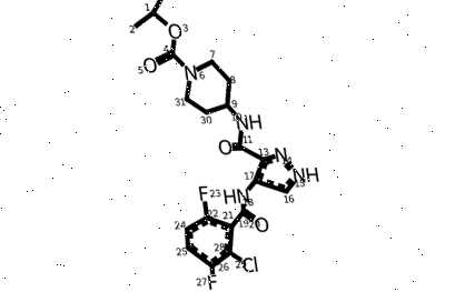 CC(C)OC(=O)N1CCC(NC(=O)c2n[nH]cc2NC(=O)c2c(F)ccc(F)c2Cl)CC1